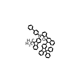 CC1(C)c2ccccc2-c2ccc(N(c3ccc(-c4ccccc4)cc3)c3cccc4c3oc3c(-c5ccc6c(c5)C(c5ccccc5)(c5ccccc5)c5ccccc5-6)c5ccccc5cc34)cc21